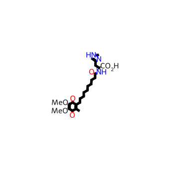 COC1=C(OC)C(=O)C(CCCCCCCCCC(=O)N[C@@H](Cc2c[nH]cn2)C(=O)O)=C(C)C1=O